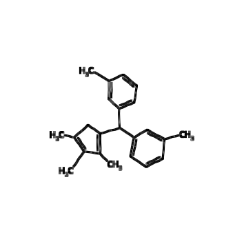 CC1=C(C)C(C)=C(C(c2cccc(C)c2)c2cccc(C)c2)C1